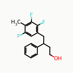 Cc1c(F)cc(CC(CCO)c2ccccc2)c(F)c1F